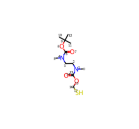 CN(CCN(C)C(=O)OC(C)(C)C)C(=O)OCS